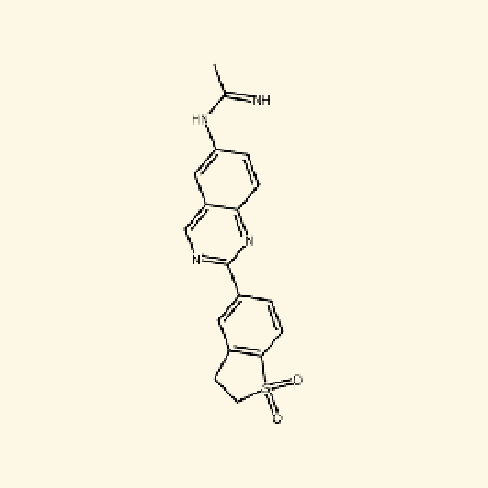 CC(=N)Nc1ccc2nc(-c3ccc4c(c3)CCS4(=O)=O)ncc2c1